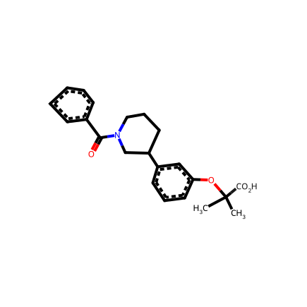 CC(C)(Oc1cccc(C2CCCN(C(=O)c3ccccc3)C2)c1)C(=O)O